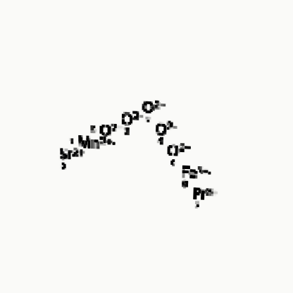 [Fe+3].[Mn+2].[O-2].[O-2].[O-2].[O-2].[O-2].[Pr+3].[Sr+2]